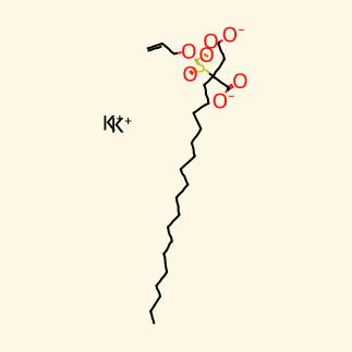 C=CCOS(=O)(=O)C(CCCCCCCCCCCCCCCCCC)(CC(=O)[O-])C(=O)[O-].[K+].[K+]